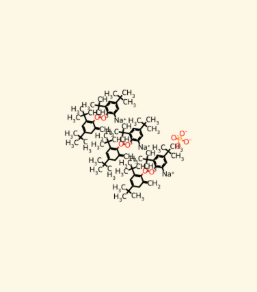 C=C1CC(C(C)(C)C)=CC(C(C)(C)C)=C1OOc1[c]([Na+])cc(C(C)(C)C)cc1C(C)(C)C.C=C1CC(C(C)(C)C)=CC(C(C)(C)C)=C1OOc1[c]([Na+])cc(C(C)(C)C)cc1C(C)(C)C.C=C1CC(C(C)(C)C)=CC(C(C)(C)C)=C1OOc1[c]([Na+])cc(C(C)(C)C)cc1C(C)(C)C.O=P([O-])([O-])[O-]